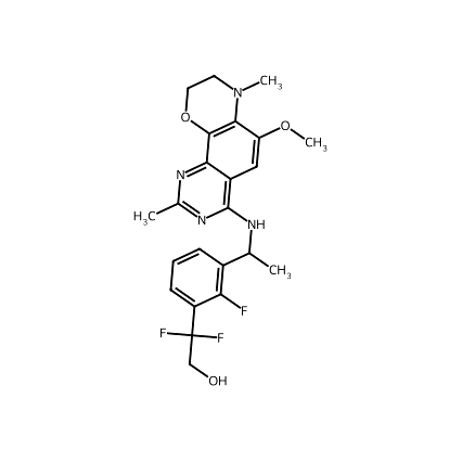 COc1cc2c(NC(C)c3cccc(C(F)(F)CO)c3F)nc(C)nc2c2c1N(C)CCO2